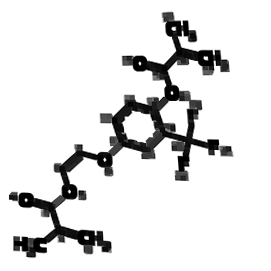 C=C(C)C(=O)O/C=C\Oc1ccc(OC(=O)C(=C)C)c(C(F)(F)F)c1